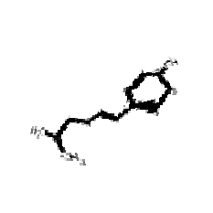 CC(C)CCC=Cc1ccc(O)cc1